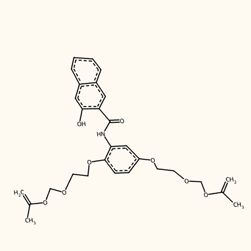 C=C(C)OCOCCOc1ccc(OCCOCOC(=C)C)c(NC(=O)c2cc3ccccc3cc2O)c1